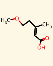 COCCC(C)=CC(=O)O